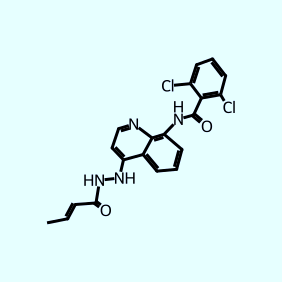 CC=CC(=O)NNc1ccnc2c(NC(=O)c3c(Cl)cccc3Cl)cccc12